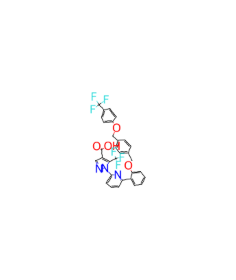 O=C(O)c1cnn(-c2cccc(-c3ccccc3OCc3ccc(COc4ccc(C(F)(F)F)cc4)cc3)n2)c1C(F)(F)F